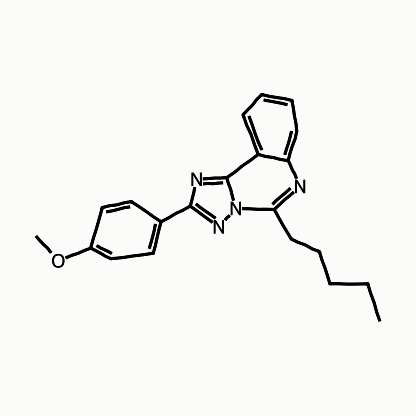 CCCCCc1nc2ccccc2c2nc(-c3ccc(OC)cc3)nn12